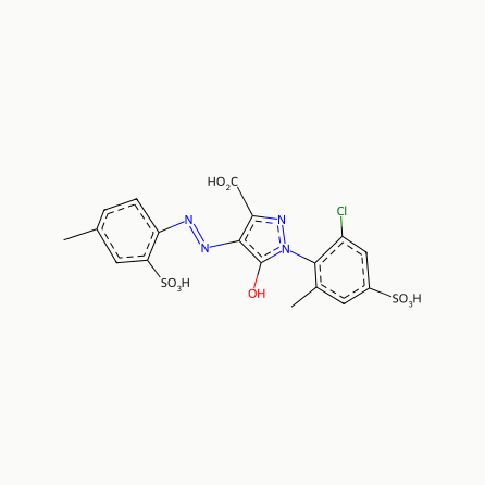 Cc1ccc(N=Nc2c(C(=O)O)nn(-c3c(C)cc(S(=O)(=O)O)cc3Cl)c2O)c(S(=O)(=O)O)c1